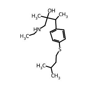 CCNCC(C)(O)C(C)c1ccc(SCCC(C)C)cc1